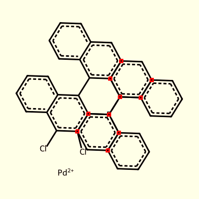 Clc1c(P(c2ccccc2)c2ccccc2)c(-c2c(P(c3ccccc3)c3ccccc3)ccc3ccccc23)c2ccccc2c1Cl.[Pd+2]